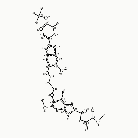 COC(=O)[C@@H](C)CC(=O)c1cc2c(F)c(OCCCOc3cc4cc(C(=O)CC(C)C(=O)OC(C)(C)C)sc4cc3OC)c(OC)cc2s1